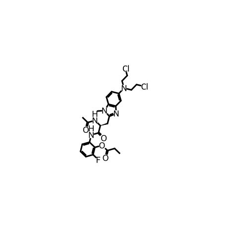 CCC(=O)Oc1c(F)cccc1NC(=O)[C@H](Cc1nc2cc(N(CCCl)CCCl)ccc2n1C)NC(C)=O